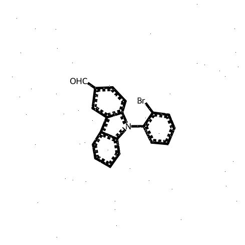 O=Cc1ccc2c(c1)c1ccccc1n2-c1ccccc1Br